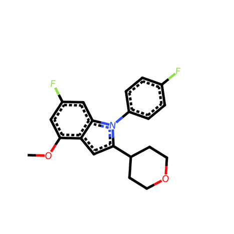 COc1cc(F)cc2c1cc(C1CCOCC1)n2-c1ccc(F)cc1